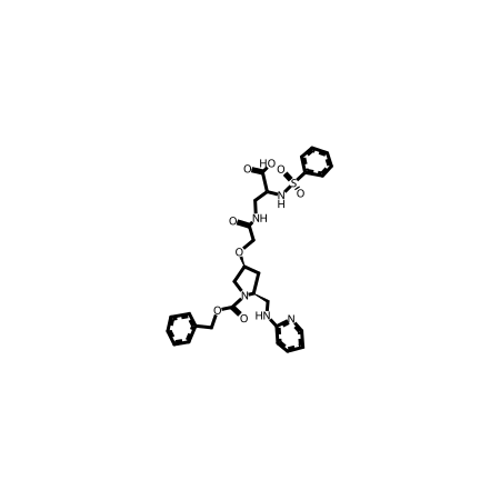 O=C(CO[C@H]1C[C@@H](CNc2ccccn2)N(C(=O)OCc2ccccc2)C1)NCC(NS(=O)(=O)c1ccccc1)C(=O)O